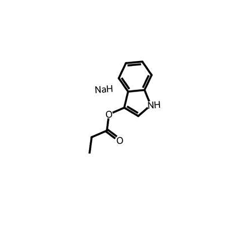 CCC(=O)Oc1c[nH]c2ccccc12.[NaH]